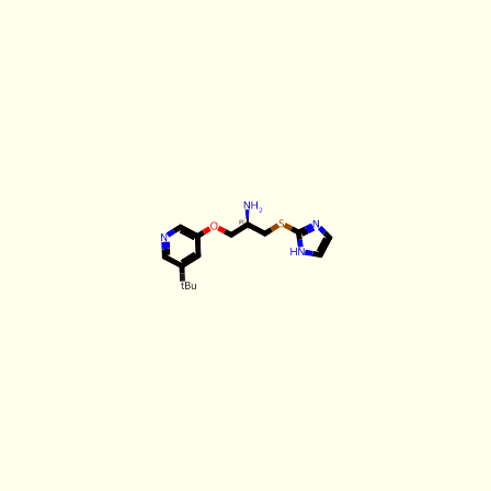 CC(C)(C)c1cncc(OC[C@@H](N)CSc2ncc[nH]2)c1